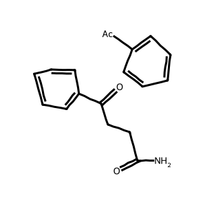 CC(=O)c1ccccc1.NC(=O)CCC(=O)c1ccccc1